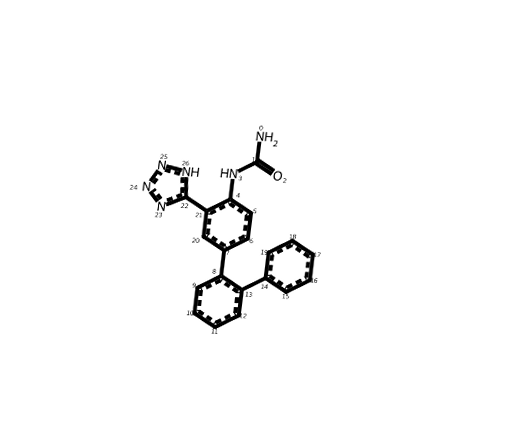 NC(=O)Nc1ccc(-c2ccccc2-c2ccccc2)cc1-c1nnn[nH]1